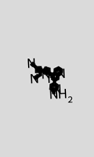 N#CCC1(n2ccc(-c3nc(-c4ccc(N)nc4)cc4ncccc34)n2)CC(C#N)C1